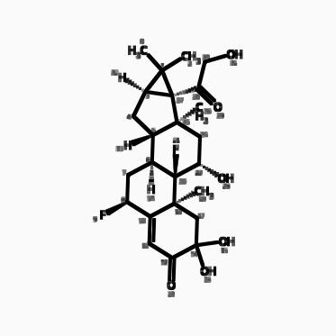 CC1(C)[C@@H]2C[C@H]3[C@@H]4C[C@H](F)C5=CC(=O)C(O)(O)C[C@]5(C)[C@@]4(F)[C@@H](O)C[C@]3(C)[C@@]21C(=O)CO